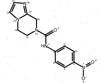 O=C(Nc1ccc([N+](=O)[O-])cc1)N1CCn2ccnc2C1